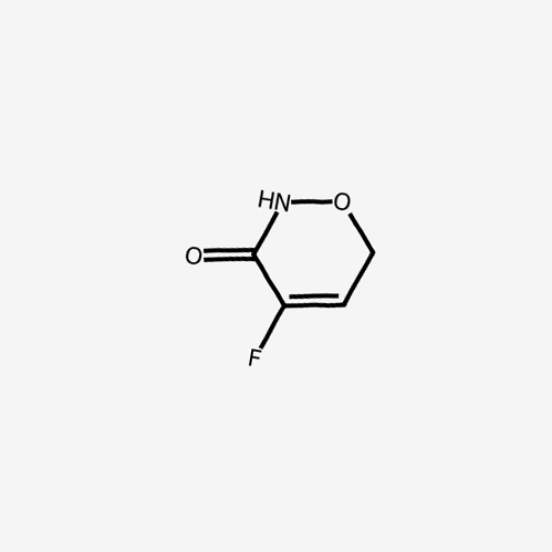 O=C1NOCC=C1F